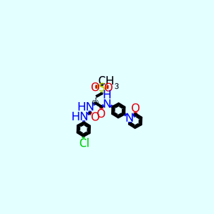 CS(=O)(=O)CC[C@@H](NC(=O)Nc1ccc(Cl)cc1)C(=O)Nc1ccc(-n2ccccc2=O)cc1